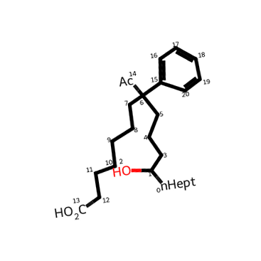 CCCCCCCC(O)CCCC(CCCCCCC(=O)O)(C(C)=O)c1ccccc1